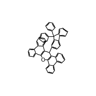 c1ccc(C2(c3ccccc3)c3ccccc3-c3ccc(C4c5c(c6ccccc6c6ccccc56)Oc5c4c4ccccc4c4ccccc54)cc32)cc1